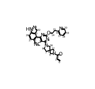 C=CC(=O)N1CC2(CCN(c3nc(OCCc4ccccn4)nc(-c4c(C)ccc5[nH]ncc45)c3C#N)C2)C1